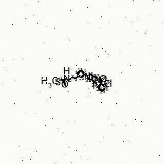 CSCC(=O)NCCCc1cccc(N2CC3CN(C(=O)c4c(F)cccc4Cl)CC3C2)c1